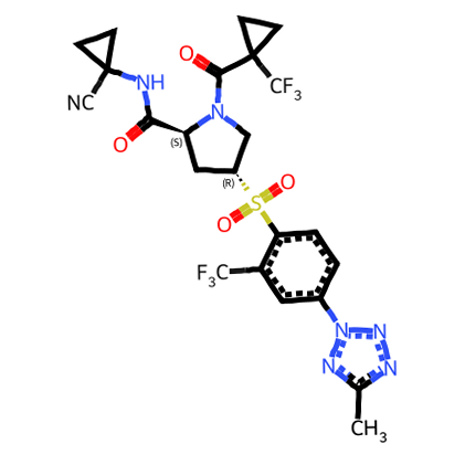 Cc1nnn(-c2ccc(S(=O)(=O)[C@@H]3C[C@@H](C(=O)NC4(C#N)CC4)N(C(=O)C4(C(F)(F)F)CC4)C3)c(C(F)(F)F)c2)n1